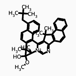 COC1(O)C2(C)c3ccc4c(CC(C)(C)C)cccc4c3-c3c4c(nc[n+]3C12C)-c1ccc2ccccc2c1C4(C)C